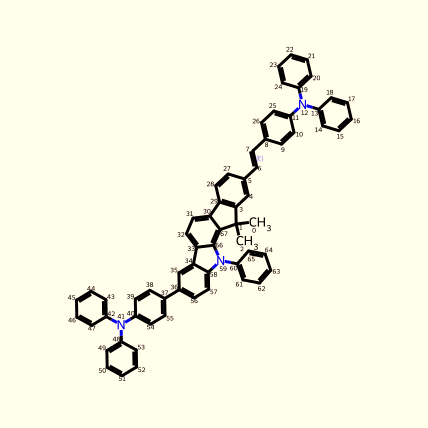 CC1(C)c2cc(/C=C/c3ccc(N(c4ccccc4)c4ccccc4)cc3)ccc2-c2ccc3c4cc(-c5ccc(N(c6ccccc6)c6ccccc6)cc5)ccc4n(-c4ccccc4)c3c21